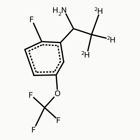 [2H]C([2H])([2H])C(N)c1cc(OC(F)(F)F)ccc1F